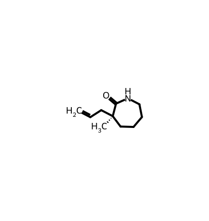 C=CC[C@]1(C)CCCCNC1=O